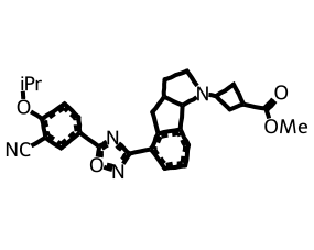 COC(=O)C1CC(N2CCC3Cc4c(-c5noc(-c6ccc(OC(C)C)c(C#N)c6)n5)cccc4C32)C1